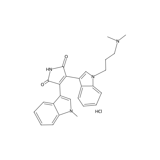 CN(C)CCCn1cc(C2=C(c3cn(C)c4ccccc34)C(=O)NC2=O)c2ccccc21.Cl